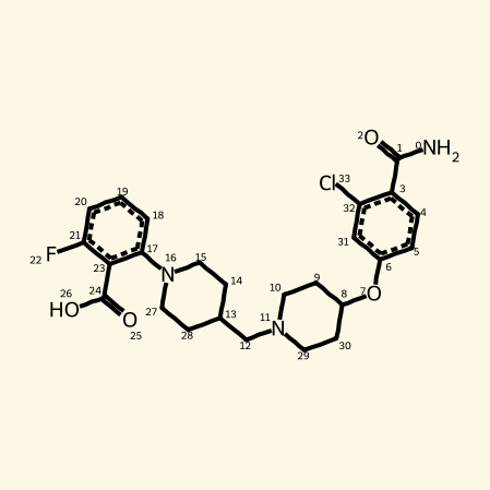 NC(=O)c1ccc(OC2CCN(CC3CCN(c4cccc(F)c4C(=O)O)CC3)CC2)cc1Cl